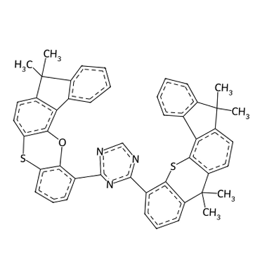 CC1(C)c2cccc(-c3ncnc(-c4cccc5c4Oc4c(ccc6c4-c4ccccc4C6(C)C)S5)n3)c2Sc2c1ccc1c2-c2ccccc2C1(C)C